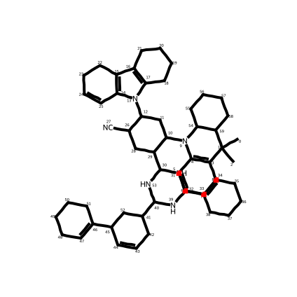 CC1(C)C2=C(C=CCC2)N(C2CC(n3c4c(c5c3CCCC5)CCC=C4)C(C#N)CC2C2NC(C3=CCCCC3)NC(C3CC=CC(C4=CCCCC4)C3)N2)C2CCCCC21